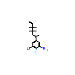 C=CC(C)(C)C(C)(C)CB(C)c1cc(N)c(F)c(CC)c1